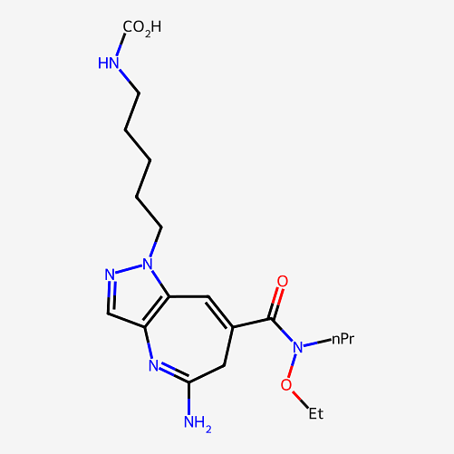 CCCN(OCC)C(=O)C1=Cc2c(cnn2CCCCCNC(=O)O)N=C(N)C1